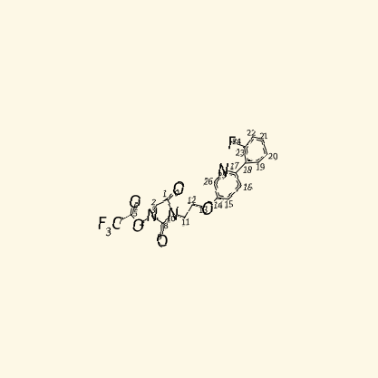 O=C1CN(OC(=O)C(F)(F)F)C(=O)N1CCOc1ccc(-c2ccccc2F)nc1